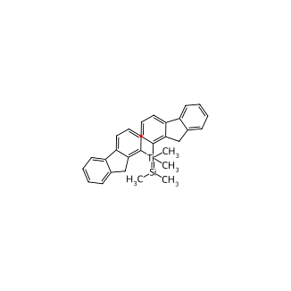 C[Si](C)=[Ti]([CH3])([CH3])([c]1cccc2c1Cc1ccccc1-2)[c]1cccc2c1Cc1ccccc1-2